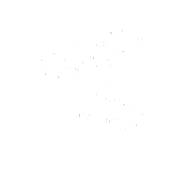 O=C(O)c1nc2ccccc2nc1OCCCN(Cc1ccc(C(F)(F)F)cc1C(F)(F)F)c1nc2ccccc2s1